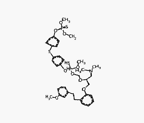 COc1cccc(CCc2ccccc2OC[C@H](CN(C)C)OCO[PH](S)(OC)Oc2ccc(Sc3ccc(OP(=S)(OC)OC)cc3)cc2)c1